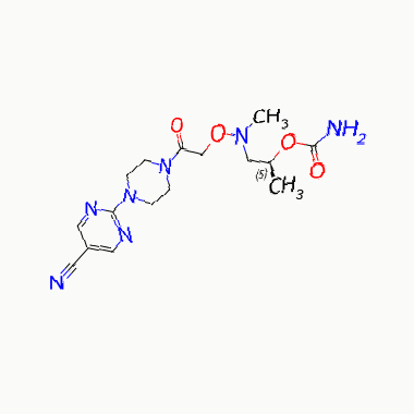 C[C@@H](CN(C)OCC(=O)N1CCN(c2ncc(C#N)cn2)CC1)OC(N)=O